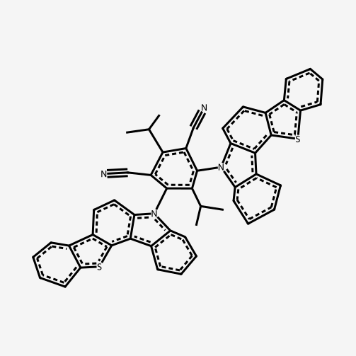 CC(C)c1c(C#N)c(-n2c3ccccc3c3c4sc5ccccc5c4ccc32)c(C(C)C)c(-n2c3ccccc3c3c4sc5ccccc5c4ccc32)c1C#N